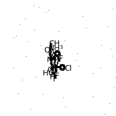 CCNC(=O)OCc1nc(Cn2nc(-c3ccc(Cl)cc3)n(CC(O)C(F)(F)F)c2=O)nn1-c1ccccc1C(F)(F)F